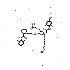 Cc1cc(Br)cc(C)c1NC(=O)C[N+](CCCCCCCO)(CCCCCC(=O)O)CCCOCCCN1CCCCC1C(=O)Nc1c(C)cccc1C